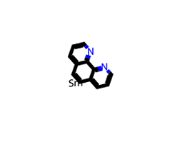 [Sm].c1cnc2c(c1)ccc1cccnc12